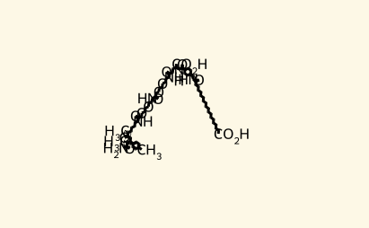 Cc1ccc(C(CC(=O)[C@@H](C)CCCCNC(=O)COCCOCCNC(=O)COCCOCCNC(=O)CCC(NC(=O)C2CCC(CNC(=O)CCCCCCCCCCCCCCCCCCC(=O)O)CC2)C(=O)O)[C@H](C)C(N)=O)cc1